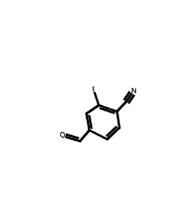 N#Cc1ccc(C=O)cc1I